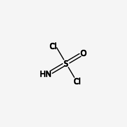 N=S(=O)(Cl)Cl